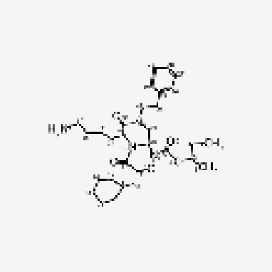 CCC(C)OC(=O)N1O[C@H](CC2CCCCC2)C(=O)N2C1CN(CCc1ccccc1)C(=O)[C@@H]2CCCCN